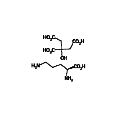 NCCC[C@H](N)C(=O)O.O=C(O)CC(O)(CC(=O)O)C(=O)O